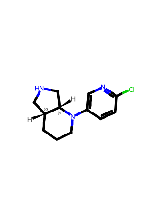 Clc1ccc(N2CCC[C@@H]3CNC[C@@H]32)cn1